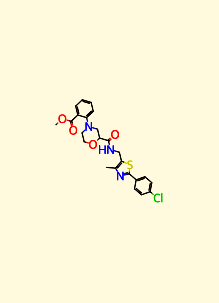 COC(=O)c1ccccc1N1CCOC(C(=O)NCc2sc(-c3ccc(Cl)cc3)nc2C)C1